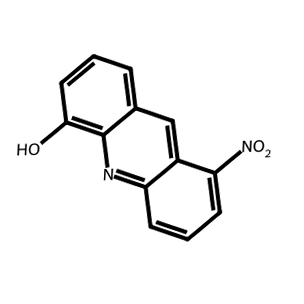 O=[N+]([O-])c1cccc2nc3c(O)cccc3cc12